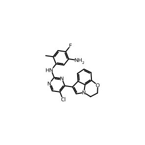 Cc1cc(F)c(N)cc1Nc1ncc(Cl)c(-c2cn3c4c(cccc24)OCC3)n1